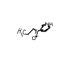 CCCN([C]=O)c1cc[nH]c1